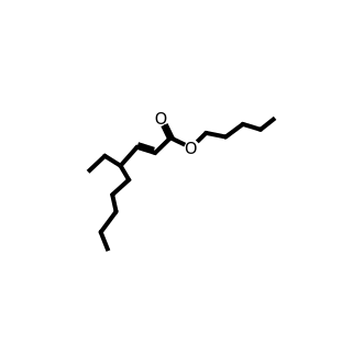 CCCCCOC(=O)/C=C/C(CC)CCCCC